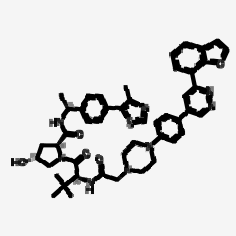 Cc1ncsc1-c1ccc([C@H](C)NC(=O)[C@@H]2C[C@@H](O)CN2C(=O)[C@@H](NC(=O)CN2CCN(c3ccc(-c4cnnc(-c5cccc6ccoc56)c4)cc3)CC2)C(C)(C)C)cc1